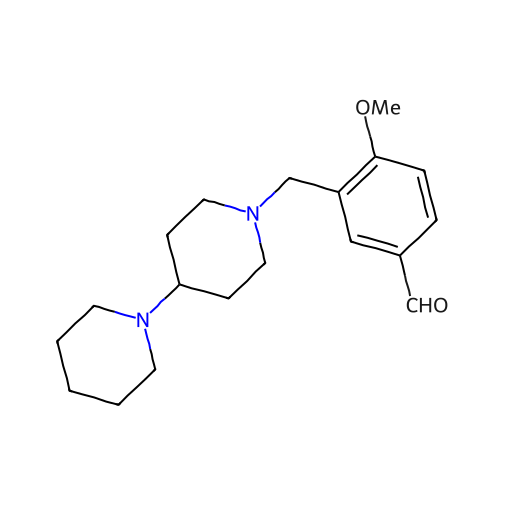 COc1ccc(C=O)cc1CN1CCC(N2CCCCC2)CC1